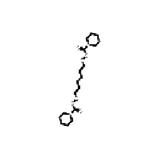 S=C(SSCCCCCCSSC(=S)N1CCCCC1)N1CCCCC1